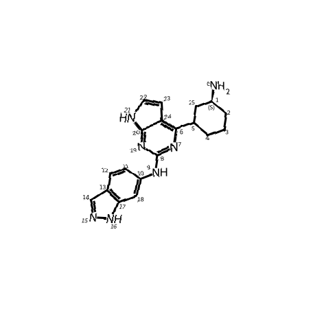 N[C@H]1CCCC(c2nc(Nc3ccc4cn[nH]c4c3)nc3[nH]ccc23)C1